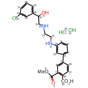 COC(=O)c1cc(-c2cccc(NCCNCC(O)c3cccc(Cl)c3)c2)ccc1C(=O)O.Cl.Cl